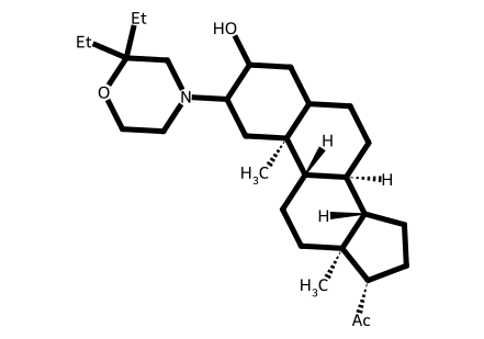 CCC1(CC)CN(C2C[C@@]3(C)C(CC[C@H]4[C@@H]5CC[C@H](C(C)=O)[C@@]5(C)CC[C@@H]43)CC2O)CCO1